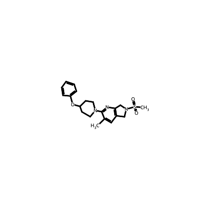 Cc1cc2c(nc1N1CCC(Oc3ccccc3)CC1)CN(S(C)(=O)=O)C2